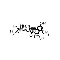 Cc1cc(O)cc(C)c1C[C@H](NC(=O)[C@@H](CCCNC(=N)NP)NP)C(=O)O